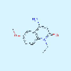 CCn1c(=O)cc(N)c2cc(OC)ccc21